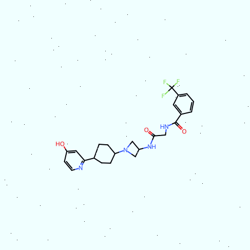 O=C(CNC(=O)c1cccc(C(F)(F)F)c1)NC1CN(C2CCC(c3cc(O)ccn3)CC2)C1